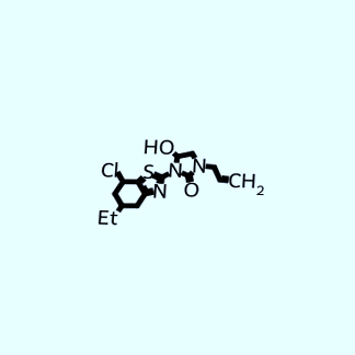 C=CCN1CC(O)N(c2nc3c(s2)C(Cl)CC(CC)C3)C1=O